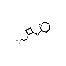 CC[C@@H]1CCC1OC1CCCCO1